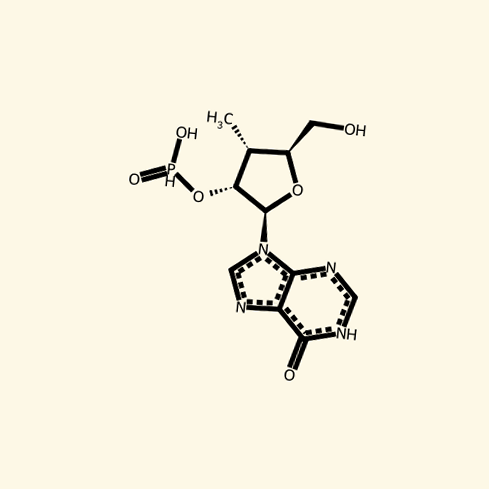 C[C@H]1[C@@H](O[PH](=O)O)[C@H](n2cnc3c(=O)[nH]cnc32)O[C@@H]1CO